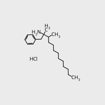 CCCCCCCCCCC(C)C(C)(N)Cc1ccccc1.Cl